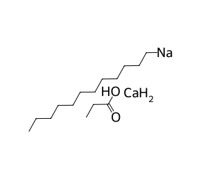 CCC(=O)O.CCCCCCCCCCC[CH2][Na].[CaH2]